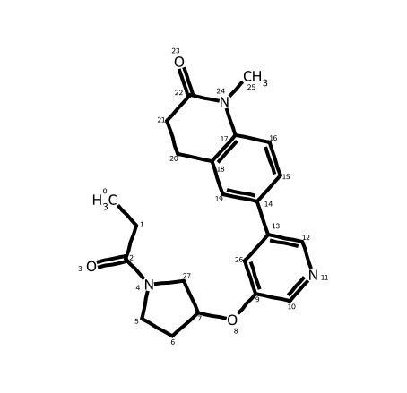 CCC(=O)N1CCC(Oc2cncc(-c3ccc4c(c3)CCC(=O)N4C)c2)C1